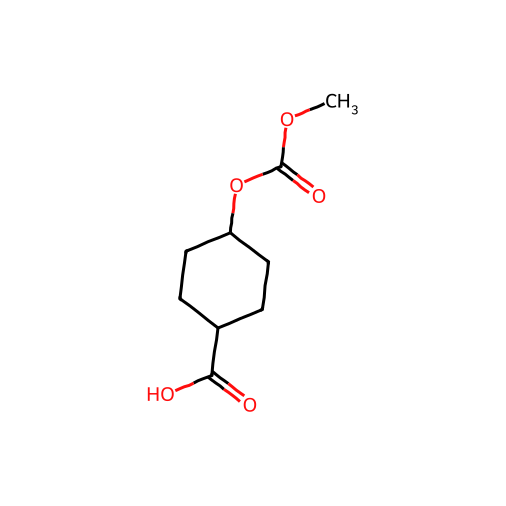 COC(=O)OC1CCC(C(=O)O)CC1